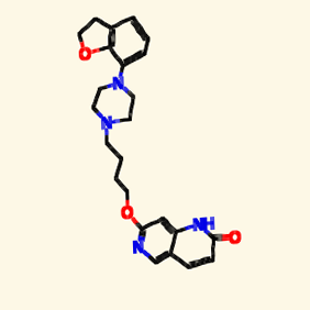 O=c1ccc2cnc(OCCCCN3CCN(c4cccc5c4OCC5)CC3)cc2[nH]1